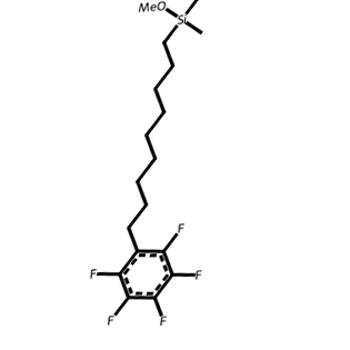 CO[Si](C)(C)CCCCCCCCCc1c(F)c(F)c(F)c(F)c1F